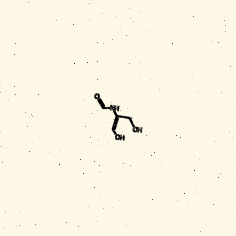 O=CNC([CH]O)=CO